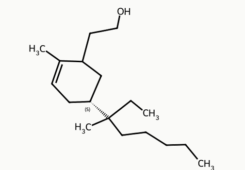 CCCCCC(C)(CC)[C@@H]1CC=C(C)C(CCO)C1